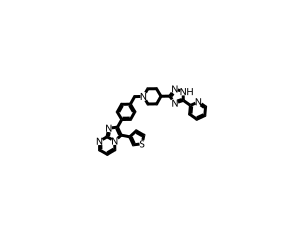 c1ccc(-c2nc(C3CCN(Cc4ccc(-c5nc6ncccn6c5-c5ccsc5)cc4)CC3)n[nH]2)nc1